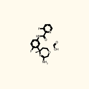 C[C@@]1(c2cc(NC(=O)c3ncccc3F)ccc2F)CCOCC(N)=N1.O=CO